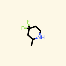 CC1CC(F)(F)CCN1